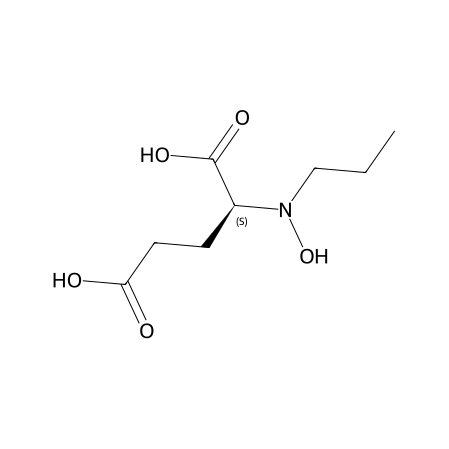 CCCN(O)[C@@H](CCC(=O)O)C(=O)O